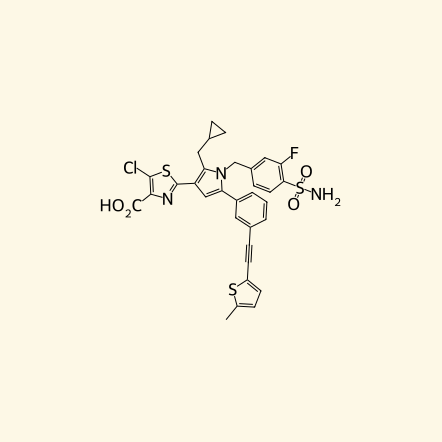 Cc1ccc(C#Cc2cccc(-c3cc(-c4nc(C(=O)O)c(Cl)s4)c(CC4CC4)n3Cc3ccc(S(N)(=O)=O)c(F)c3)c2)s1